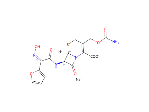 NC(=O)OCC1=C(C(=O)[O-])N2C(=O)[C@@H](NC(=O)/C(=N\O)c3ccco3)[C@H]2SC1.[Na+]